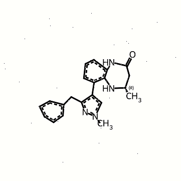 C[C@@H]1CC(=O)Nc2cccc(-c3cn(C)nc3Cc3ccccc3)c2N1